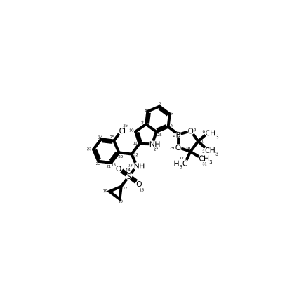 CC1(C)OB(c2cccc3cc(C(NS(=O)(=O)C4CC4)c4ccccc4Cl)[nH]c23)OC1(C)C